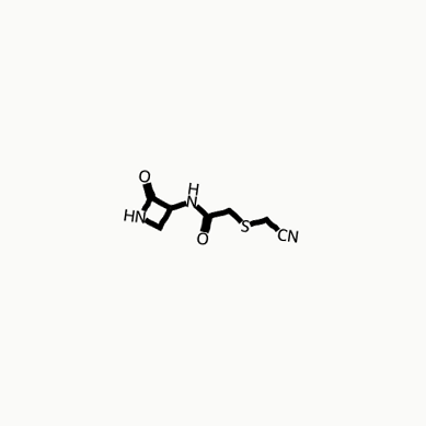 N#CCSCC(=O)NC1CNC1=O